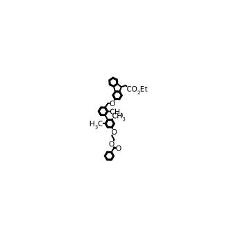 CCOC(=O)CC1c2ccccc2-c2cc(OCc3cccc(-c4c(C)cc(OCCOC(=O)c5ccccc5)cc4C)c3C)ccc21